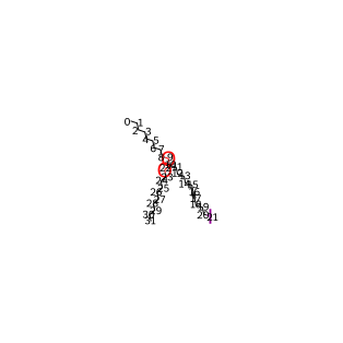 CCCCCCCCCOC(CCCCCC#CCCCI)OCCCCCCCCC